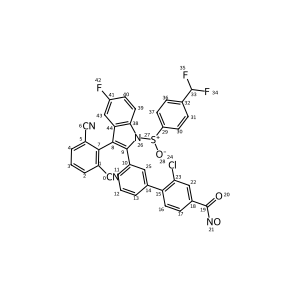 N#Cc1cccc(C#N)c1-c1c(-c2cccc(-c3ccc(C(=O)N=O)cc3Cl)c2)n([S+]([O-])c2ccc(C(F)F)cc2)c2ccc(F)cc12